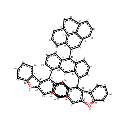 c1ccc2c(-c3cccc4c(-c5cc6cccc7ccc8cccc5c8c76)c5cccc(-c6c7ccccc7cc7oc8ccccc8c67)c5cc34)c3c(cc2c1)oc1ccccc13